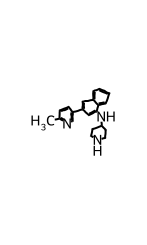 Cc1ccc(-c2cc(NC3CCNCC3)c3ccccc3c2)cn1